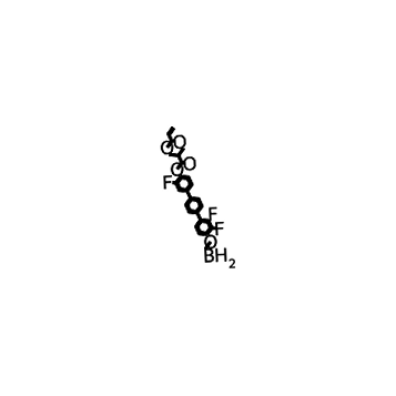 BCOc1ccc(-c2ccc(-c3ccc(OC(=O)C4COC(C=C)OC4)c(F)c3)cc2)c(F)c1F